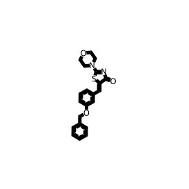 O=C1N=C(N2CCOCC2)SC1=Cc1cccc(OCc2ccccc2)c1